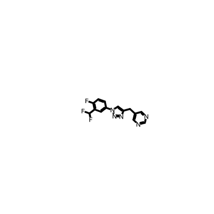 Fc1ccc(-n2cc(Cc3cncnc3)nn2)cc1C(F)F